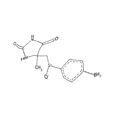 Bc1ccc([S+]([O-])CC2(C)NC(=O)NC2=O)cc1